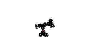 O=[N+]([O-])c1ccc2c(c1)c1cc(-c3cc4c5ccccc5n5c6ccccc6c(c3)c45)cc3c4cc(-c5cc6c7ccccc7n7c8ccccc8c(c5)c67)ccc4n2c31